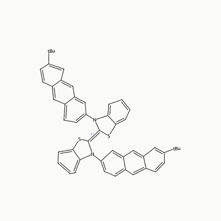 CC(C)(C)c1ccc2cc3ccc(N4/C(=C5\Sc6ccccc6N5c5ccc6cc7ccc(C(C)(C)C)cc7cc6c5)Sc5ccccc54)cc3cc2c1